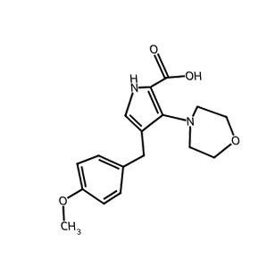 COc1ccc(Cc2c[nH]c(C(=O)O)c2N2CCOCC2)cc1